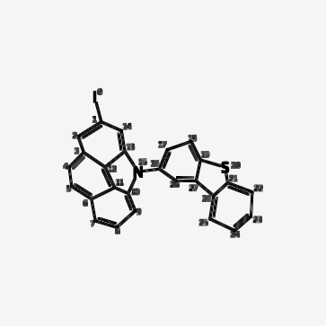 Ic1cc2ccc3cccc4c3c2c(c1)n4-c1ccc2sc3ccccc3c2c1